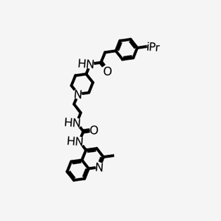 Cc1cc(NC(=O)NCCN2CCC(NC(=O)Cc3ccc(C(C)C)cc3)CC2)c2ccccc2n1